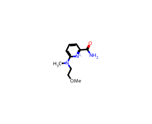 COCCN(C)C1=CC=CC(C(N)=O)=[N+]1